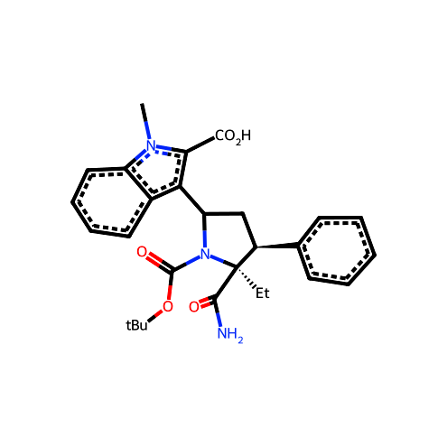 CC[C@@]1(C(N)=O)[C@H](c2ccccc2)CC(c2c(C(=O)O)n(C)c3ccccc23)N1C(=O)OC(C)(C)C